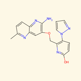 Cc1ccc2nc(N)c(OCc3nc(O)ccc3-n3cccn3)cc2n1